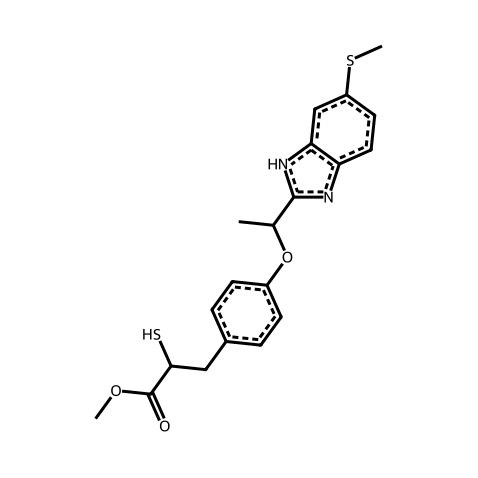 COC(=O)C(S)Cc1ccc(OC(C)c2nc3ccc(SC)cc3[nH]2)cc1